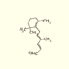 CC1=C(C/C=C(C)/C=C/C=O)C(C)(C)CCC1